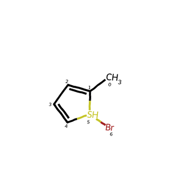 CC1=CC=C[SH]1Br